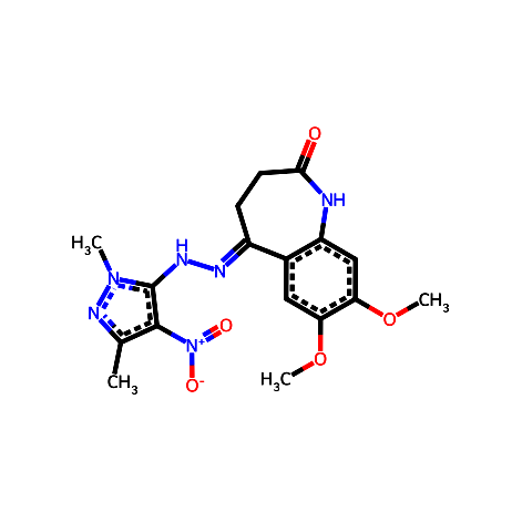 COc1cc2c(cc1OC)C(=NNc1c([N+](=O)[O-])c(C)nn1C)CCC(=O)N2